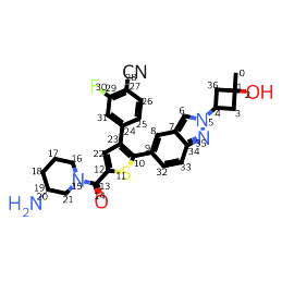 CC1(O)CC(n2cc3cc(-c4sc(C(=O)N5CCC[C@@H](N)C5)cc4-c4ccc(C#N)c(F)c4)ccc3n2)C1